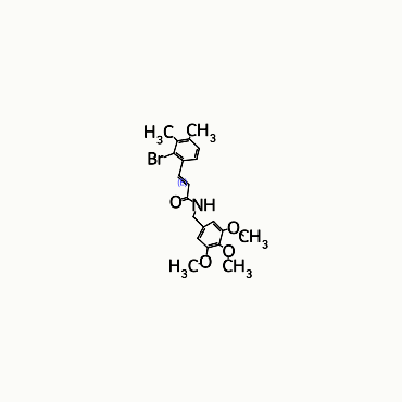 COc1cc(CNC(=O)/C=C/c2ccc(C)c(C)c2Br)cc(OC)c1OC